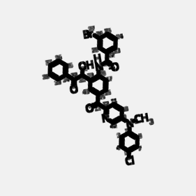 CN(c1ccc(Cl)cc1)c1ccc(C(=O)c2ccc(NC(=O)c3cccc(Br)c3)c(C(O)C(=O)c3ccccc3)c2)nc1